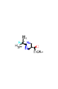 COC(=O)c1cnc(C(C)(C)F)nc1